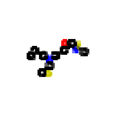 c1ccc(-c2nc3c(ccc4oc5cc(-c6ccc(N(c7ccc(-c8cccc9ccccc89)cc7)c7ccc8sc9ccccc9c8c7)cc6)ccc5c43)s2)cc1